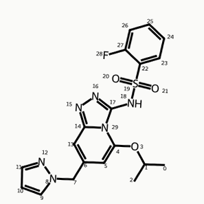 CC(C)Oc1cc(Cn2cccn2)cc2nnc(NS(=O)(=O)c3ccccc3F)n12